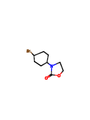 O=C1OCCN1C1CCC(Br)CC1